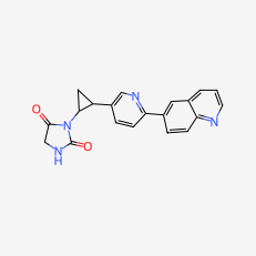 O=C1CNC(=O)N1C1CC1c1ccc(-c2ccc3ncccc3c2)nc1